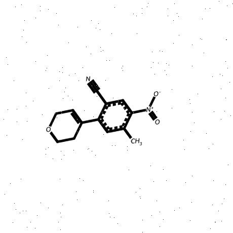 Cc1cc(C2=CCOCC2)c(C#N)cc1[N+](=O)[O-]